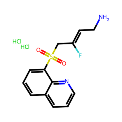 Cl.Cl.NC/C=C(\F)CS(=O)(=O)c1cccc2cccnc12